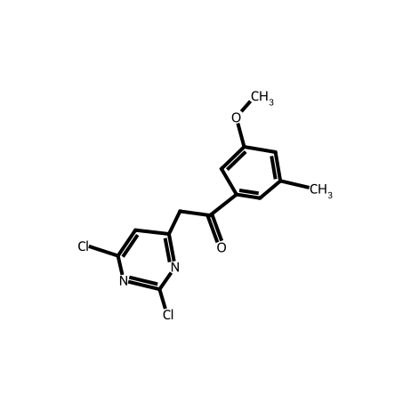 COc1cc(C)cc(C(=O)Cc2cc(Cl)nc(Cl)n2)c1